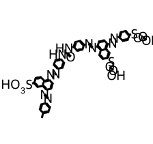 Cc1ccc(N=Nc2ccc(N=Nc3ccc(NC(=O)Nc4ccc(N=Nc5ccc(N=Nc6ccc(SOOO)cc6)c6cc(SOOO)ccc56)cc4)cc3)c3ccc(S(=O)(=O)O)cc23)cc1